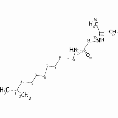 CC(C)CCCCCCCCNC(=O)CNC(C)C